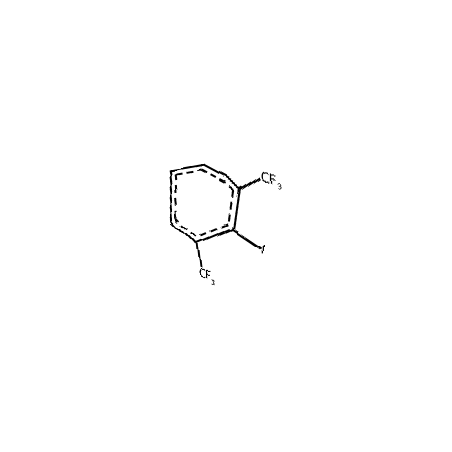 FC(F)(F)c1cccc(C(F)(F)F)c1I